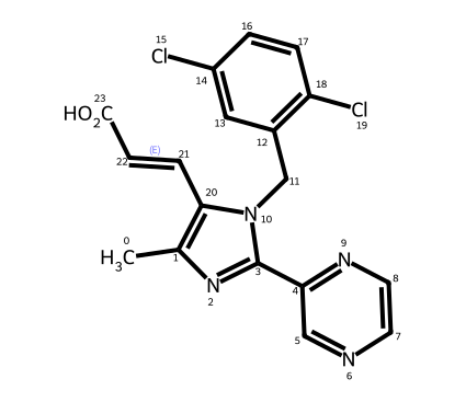 Cc1nc(-c2cnccn2)n(Cc2cc(Cl)ccc2Cl)c1/C=C/C(=O)O